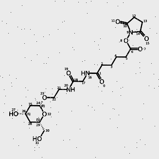 O=C(CCCCC(=O)ON1C(=O)CCC1=O)NCC(=O)NCCO[C@H]1C[C@@H](O)C[C@@H](CO)O1